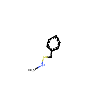 O=S(=O)(O)NSCc1ccccc1